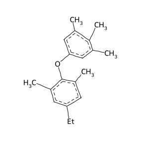 CCc1cc(C)c(Oc2cc(C)c(C)c(C)c2)c(C)c1